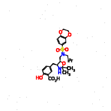 CC(C)CN(C[C@H]1OC(C)(C)N[C@H]1Cc1ccc(O)c(C(=O)O)c1)S(=O)(=O)c1ccc2c(c1)OCCO2